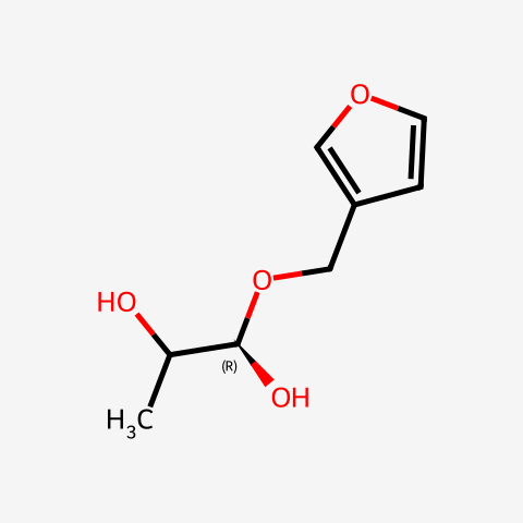 CC(O)[C@H](O)OCc1ccoc1